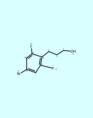 OCCCc1c(F)cc(Br)cc1F